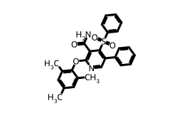 Cc1cc(C)c(Oc2ncc(-c3ccccc3)c(S(=O)(=O)c3ccccc3)c2C(N)=O)c(C)c1